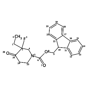 CCC1(F)CN(C(=O)OCC2c3ccccc3-c3ccccc32)CCC1=O